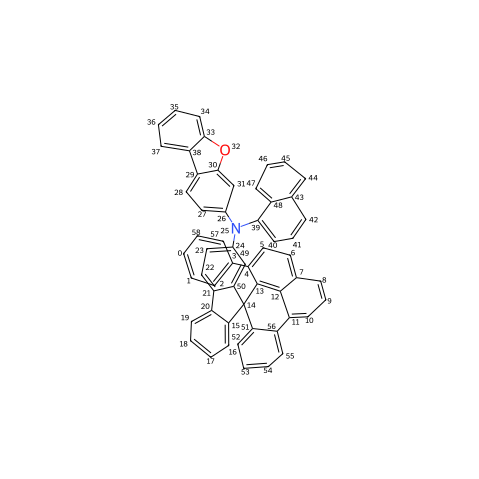 c1ccc(-c2ccc3cccc4c3c2C2(c3ccccc3-c3ccc(N(c5ccc6c(c5)oc5ccccc56)c5cccc6ccccc56)cc32)c2ccccc2-4)cc1